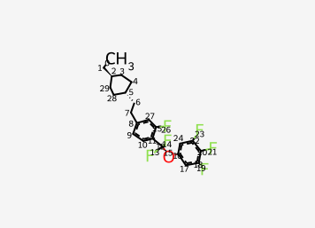 CC[C@H]1CC[C@H](CCc2ccc(C(F)(F)Oc3cc(F)c(F)c(F)c3)c(F)c2)CC1